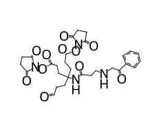 O=CCCC(CCC(=O)ON1C(=O)CCC1=O)(CCC(=O)ON1C(=O)CCC1=O)NC(=O)CCNCC(=O)c1ccccc1